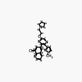 Cn1ccc(-c2ncc(OCCN3CCCC3)nc2-c2cc(Cl)c3ncccc3c2)n1